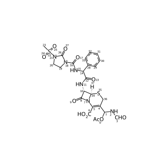 CC(=O)OC(NC=O)C1=C(C(=O)O)N2C(=O)[C@H](NC(=O)C(NC(=O)N3CCN(S(C)(=O)=O)C3=O)c3ccccc3)[C@H]2SC1